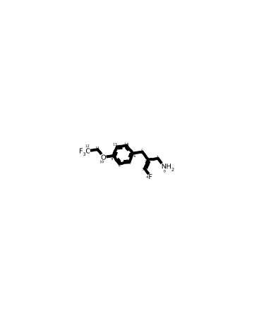 NCC(=CF)Cc1ccc(OCC(F)(F)F)cc1